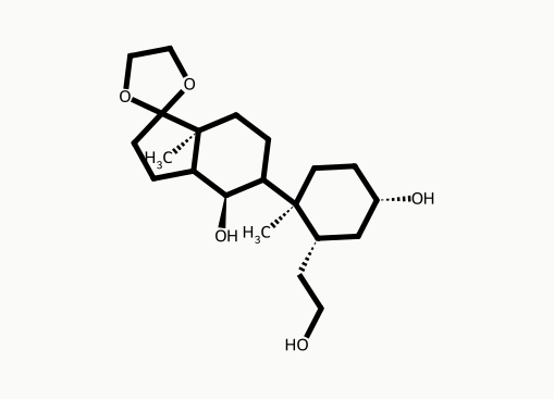 C[C@]12CCC([C@@]3(C)CC[C@H](O)C[C@@H]3CCO)[C@@H](O)C1CCC21OCCO1